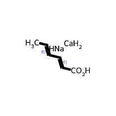 C/C=C/C=C/C(=O)O.[CaH2].[NaH]